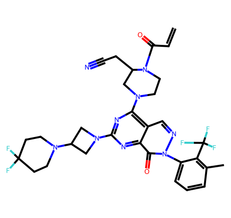 C=CC(=O)N1CCN(c2nc(N3CC(N4CCC(F)(F)CC4)C3)nc3c(=O)n(-c4cccc(C)c4C(F)(F)F)ncc23)CC1CC#N